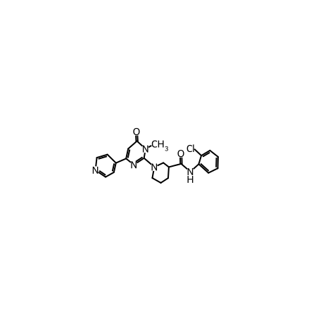 Cn1c(N2CCCC(C(=O)Nc3ccccc3Cl)C2)nc(-c2ccncc2)cc1=O